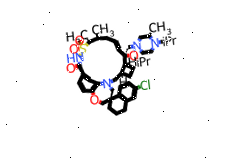 CC(C)O[C@]1(CN2CCN(C(C)C)[C@H](C)C2)/C=C/C[C@H](C)[C@@H](C)S(=O)(=O)NC(=O)c2ccc3c(c2)N(C[C@@H]2CC[C@H]21)C[C@@]1(CCCc2cc(Cl)ccc21)CO3